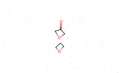 C1COC1.O=C1COC1